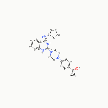 CC(=O)c1ccc(N2CCN(c3nc(NC4CCCC4)c4ccccc4n3)CC2)cc1